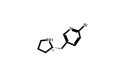 Brc1ccc(C[C@@H]2CCCN2)cn1